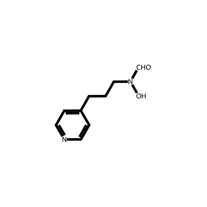 O=CN(O)CCCc1ccncc1